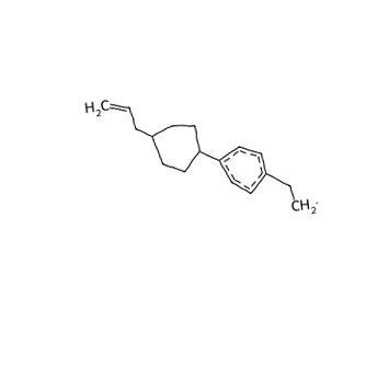 [CH2]Cc1ccc(C2CCC(CC=C)CC2)cc1